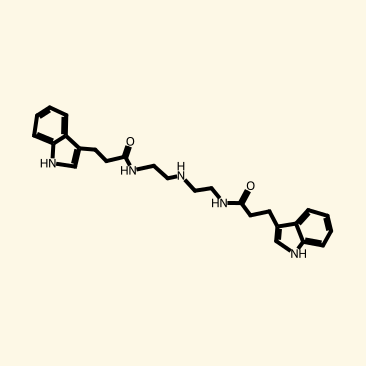 O=C(CCc1c[nH]c2ccccc12)NCCNCCNC(=O)CCc1c[nH]c2ccccc12